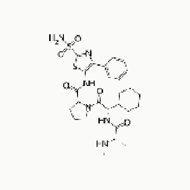 CN[C@@H](C)C(=O)N[C@H](C(=O)N1CCC[C@H]1C(=O)Nc1sc(S(N)(=O)=O)nc1-c1ccccc1)C1CCCCC1